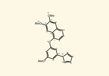 COc1cc(Oc2ccnc3cc(OC)c(OC)cc23)cc(-n2cccn2)c1